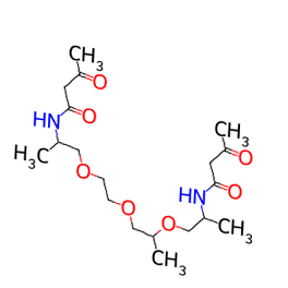 CC(=O)CC(=O)NC(C)COCCOCC(C)OCC(C)NC(=O)CC(C)=O